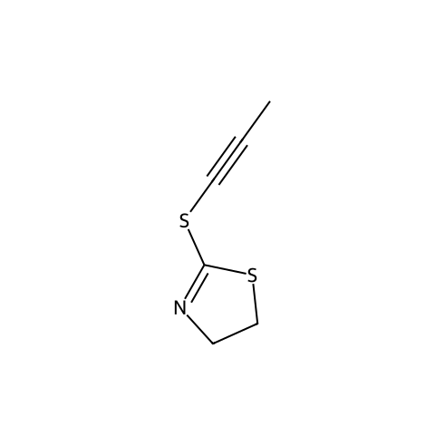 CC#CSC1=NCCS1